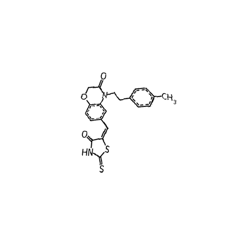 Cc1ccc(CCN2C(=O)COc3ccc(C=C4SC(=S)NC4=O)cc32)cc1